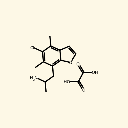 Cc1c(Cl)c(C)c2ccoc2c1CC(C)N.O=C(O)C(=O)O